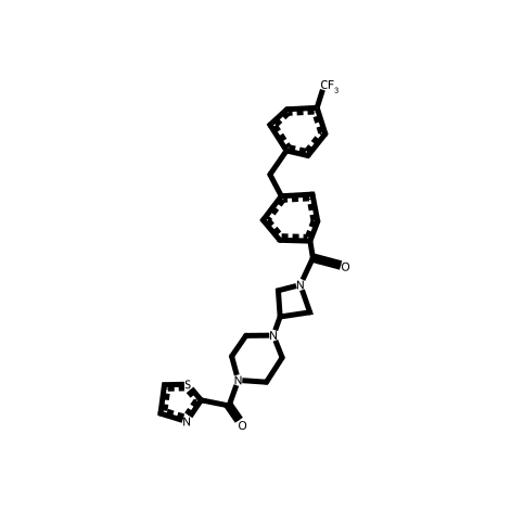 O=C(c1ccc(Cc2ccc(C(F)(F)F)cc2)cc1)N1CC(N2CCN(C(=O)c3nccs3)CC2)C1